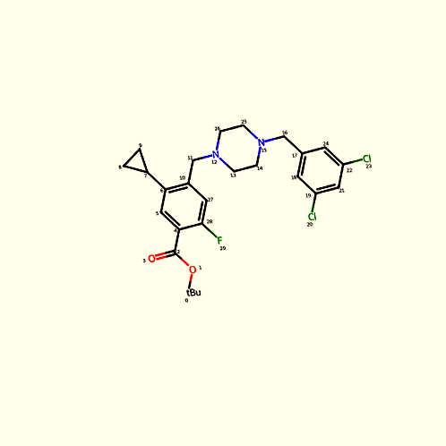 CC(C)(C)OC(=O)c1cc(C2CC2)c(CN2CCN(Cc3cc(Cl)cc(Cl)c3)CC2)cc1F